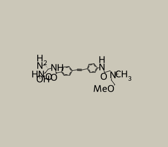 COCCN(C)CC(=O)Nc1ccc(C#Cc2ccc(C(=O)N[C@@H](CN)C(=O)NO)cc2)cc1